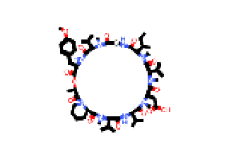 CCC(C)C1C(=O)NCC(=O)N(C)C(C(C)C)C(=O)NC(Cc2ccc(OC)cc2)C(=O)OC(C)C(=O)N2CCCCC2C(=O)N(C)C(C(C)C)C(=O)NC(C(C)C)C(=O)N(C)C(CC(=O)O)C(=O)N(C)C(C(C)C)C(=O)N1C